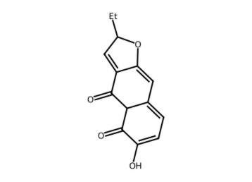 CCC1C=C2C(=O)C3C(=O)C(O)=CC=C3C=C2O1